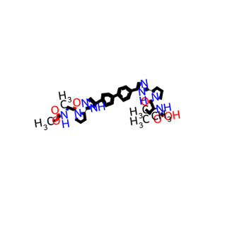 COC(=O)N[C@@H](C)C(=O)N1CCC[C@H]1c1ncc(-c2ccc(-c3ccc(-c4cnc([C@@H]5CCCN5C(=O)[C@@H](NC(=O)O)C(C)(C)C)[nH]4)cc3)cc2)[nH]1